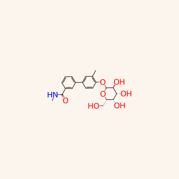 CNC(=O)c1cccc(-c2ccc(OC3O[C@@H](CO)[C@@H](O)[C@@H](O)[C@@H]3O)c(C)c2)c1